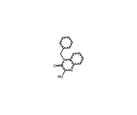 CC(C)(C)c1nc2ccccc2n(Cc2ccccc2)c1=O